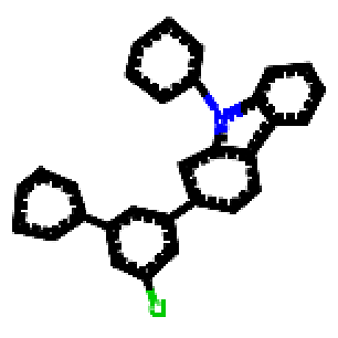 Clc1cc(-c2ccccc2)cc(-c2ccc3c4ccccc4n(-c4ccccc4)c3c2)c1